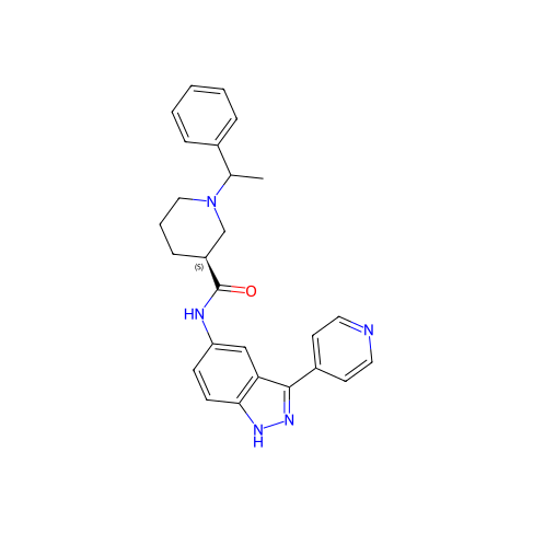 CC(c1ccccc1)N1CCC[C@H](C(=O)Nc2ccc3[nH]nc(-c4ccncc4)c3c2)C1